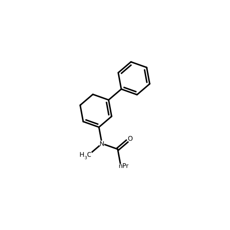 CCCC(=O)N(C)C1=CCCC(c2ccccc2)=C1